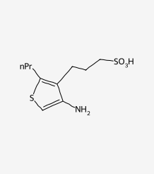 CCCc1scc(N)c1CCCS(=O)(=O)O